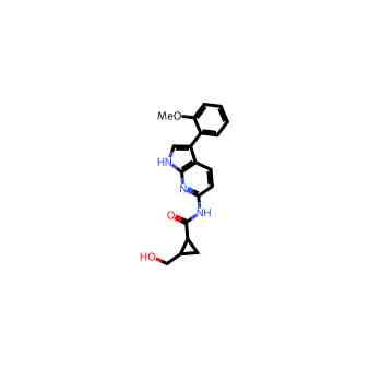 COc1ccccc1-c1c[nH]c2nc(NC(=O)C3CC3CO)ccc12